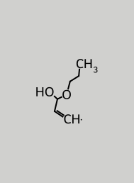 [CH]=CC(O)OCCC